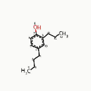 CCCCc1ccc(O)c(CCC)c1